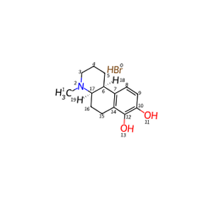 Br.CN1CCC[C@H]2c3ccc(O)c(O)c3CC[C@H]21